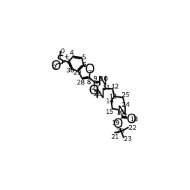 C[S+]([O-])c1ccc2oc(-c3nc(CC4CCN(C(=O)OC(C)(C)C)CC4)no3)cc2c1